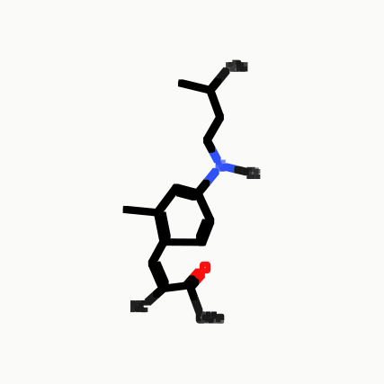 CCCCC(C)CCN(CC)c1ccc(C=C(C#N)C(=O)OC)c(C)c1